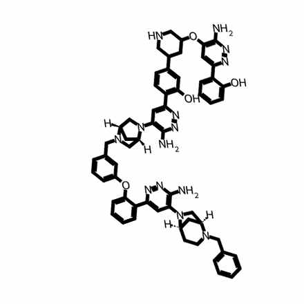 Nc1nnc(-c2ccccc2O)cc1OC1CNCC(c2ccc(-c3cc(N4C[C@@H]5C[C@H]4CN5Cc4cccc(Oc5ccccc5-c5cc(N6C[C@@H]7C[C@H]6CCN7Cc6ccccc6)c(N)nn5)c4)c(N)nn3)c(O)c2)C1